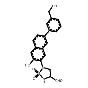 O=CC1CN(c2cc3cc(-c4cccc(CO)c4)ccc3cc2O)S(=O)(=O)N1